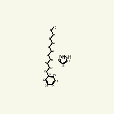 CCCCCCCCCCCCc1ccccc1.c1c[nH]nn1